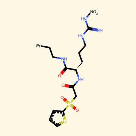 CC(C)CCNC(=O)[C@H](CCCNC(=N)N[N+](=O)[O-])NC(=O)CS(=O)(=O)c1cccs1